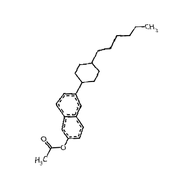 CCCCCCC1CCC(c2ccc3cc(OC(C)=O)ccc3c2)CC1